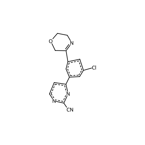 N#Cc1nccc(-c2cc(Cl)cc(C3=NCCOC3)c2)n1